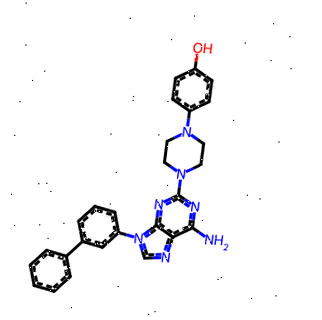 Nc1nc(N2CCN(c3ccc(O)cc3)CC2)nc2c1ncn2-c1cccc(-c2ccccc2)c1